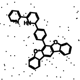 C1=CC(c2ccc(-c3c4oc5ccccc5c4cc4c3oc3ccccc34)cc2)NC(c2ccccn2)=C1